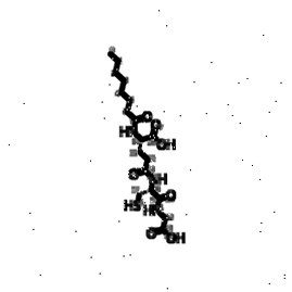 CCCCCCCC(=O)N[C@@H](CCC(=O)N[C@@H](CS)C(=O)NCC(=O)O)C(=O)O